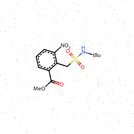 COC(=O)c1cccc([N+](=O)[O-])c1CS(=O)(=O)NC(C)(C)C